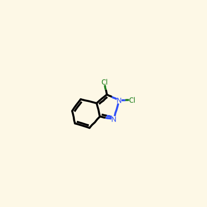 Clc1c2ccccc2nn1Cl